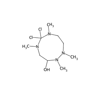 CN1CCN(C)C(Cl)(Cl)N(C)CC(O)N1C